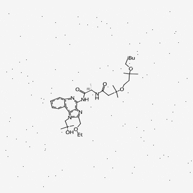 CCOCc1nc2c(NC(=O)[C@H](C)NC(=O)CC(C)(C)OCCC(C)(C)OCC(C)CC)nc3ccccc3c2n1CC(C)(C)O